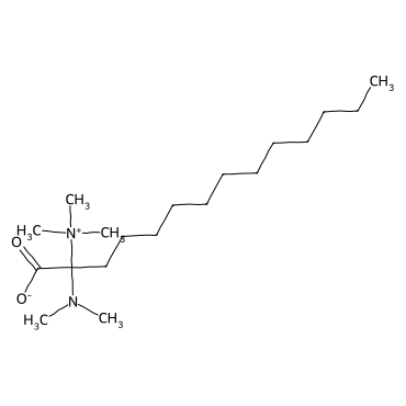 CCCCCCCCCCCCC(C(=O)[O-])(N(C)C)[N+](C)(C)C